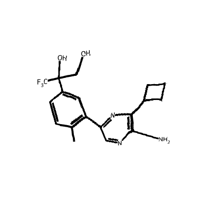 Cc1ccc(C(O)(CO)C(F)(F)F)cc1-c1cnc(N)c(C2C[CH]C2)n1